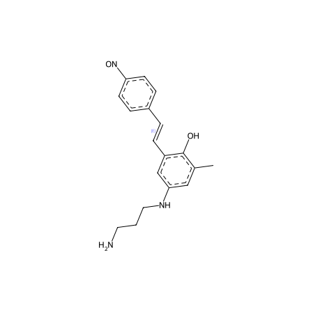 Cc1cc(NCCCN)cc(/C=C/c2ccc(N=O)cc2)c1O